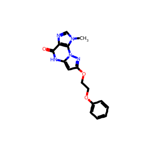 Cn1cnc2c(=O)[nH]c3cc(OCCOc4ccccc4)nn3c21